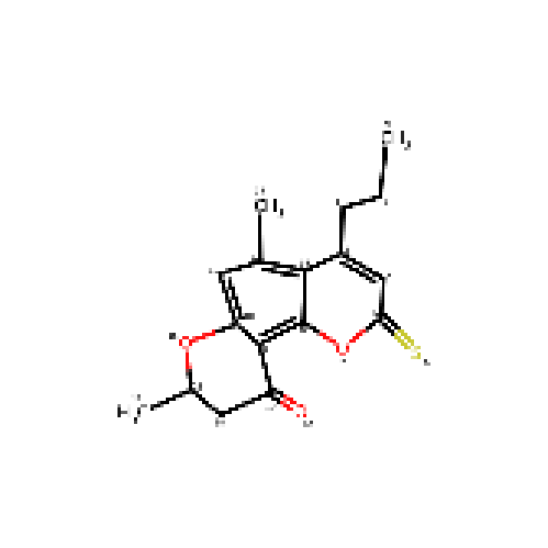 CCCc1cc(=S)oc2c3c(cc(C)c12)OC(C)CC3=O